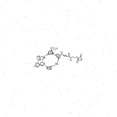 Cc1cccc(-c2cccc(CN3Cc4cccc(n4)-c4cccc(n4)CN(C)Cc4cc(C(=O)NCCNC(=O)CCCN5C(=O)C=CC5=O)cc(n4)-c4cc(C(=O)O)cc(n4)C3)n2)n1